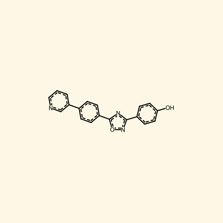 Oc1ccc(-c2noc(-c3ccc(-c4cccnc4)cc3)n2)cc1